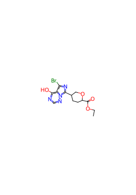 CCOC(=O)C1CCC(c2nc(Br)c3c(O)ncnn23)CO1